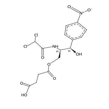 O=C(O)CCC(=O)OC[C@@H](NC(=O)C(Cl)Cl)[C@H](O)c1ccc([N+](=O)[O-])cc1